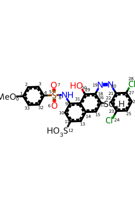 COc1ccc(S(=O)(=O)Nc2cc(S(=O)(=O)O)cc3cc(S(=O)(=O)O)c(/N=N\c4cc(Cl)ccc4Cl)c(O)c23)cc1